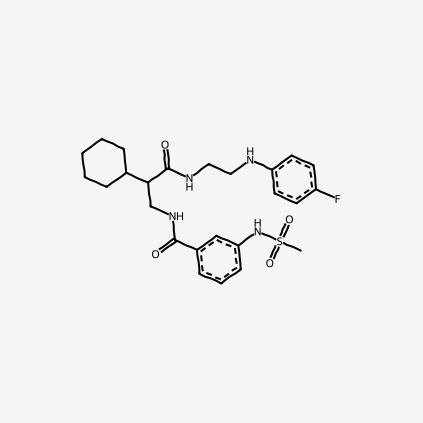 CS(=O)(=O)Nc1cccc(C(=O)NCC(C(=O)NCCNc2ccc(F)cc2)C2CCCCC2)c1